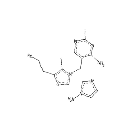 Cc1ncc(C[n+]2csc(CCO)c2C)c(N)n1.Nn1ccnc1